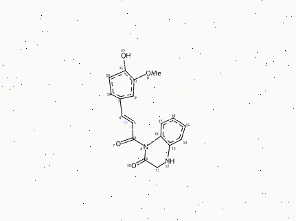 COc1cc(/C=C/C(=O)N2C(=O)CNc3ccccc32)ccc1O